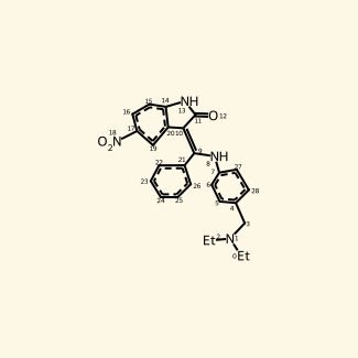 CCN(CC)Cc1ccc(N/C(=C2\C(=O)Nc3ccc([N+](=O)[O-])cc32)c2ccccc2)cc1